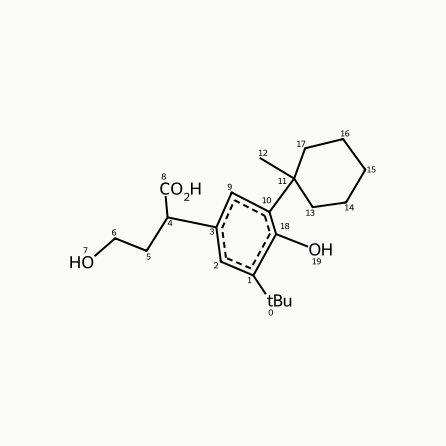 CC(C)(C)c1cc(C(CCO)C(=O)O)cc(C2(C)CCCCC2)c1O